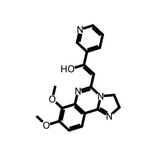 COc1ccc2c(c1OC)N=C(/C=C(\O)c1cccnc1)N1CCN=C21